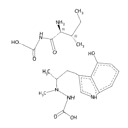 CC(Cc1c[nH]c2cccc(O)c12)N(C)NC(=O)O.CC[C@H](C)[C@H](N)C(=O)NC(=O)O